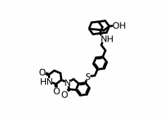 O=C1CCC(N2Cc3c(SCc4ccc(CCNC56CC7CC(CC(O)(C7)C5)C6)cc4)cccc3C2=O)C(=O)N1